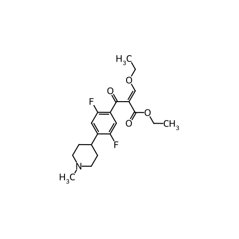 CCO/C=C(/C(=O)OCC)C(=O)c1cc(F)c(C2CCN(C)CC2)cc1F